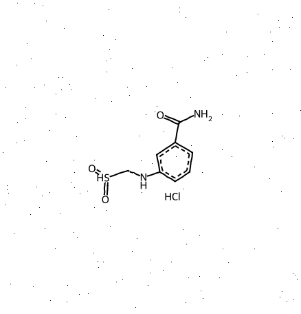 Cl.NC(=O)c1cccc(NC[SH](=O)=O)c1